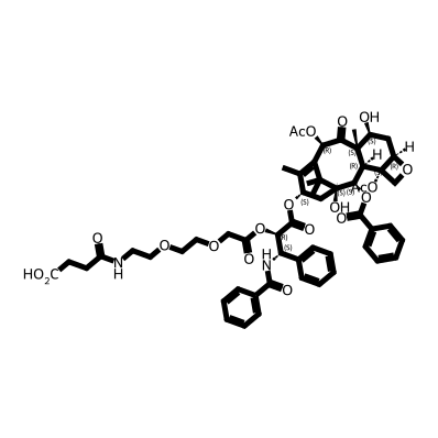 CC(=O)O[C@H]1C(=O)[C@@]2(C)[C@H]([C@H](OC(=O)c3ccccc3)[C@]3(O)C[C@H](OC(=O)[C@H](OC(=O)COCCOCCNC(=O)CCC(=O)O)[C@@H](NC(=O)c4ccccc4)c4ccccc4)C(C)=C1C3(C)C)[C@]1(OC(C)=O)CO[C@@H]1C[C@@H]2O